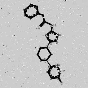 O=C(Cc1ccccc1)Nc1nnc([C@@H]2CCC[C@H](c3ccc(Cl)nn3)C2)s1